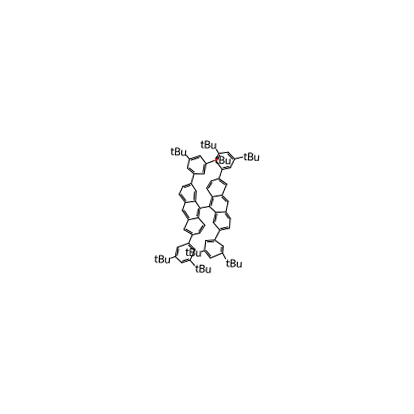 CC(C)(C)c1cc(-c2ccc3c(-c4c5ccc(-c6cc(C(C)(C)C)cc(C(C)(C)C)c6)cc5cc5ccc(-c6cc(C(C)(C)C)cc(C(C)(C)C)c6)cc45)c4cc(-c5cc(C(C)(C)C)cc(C(C)(C)C)c5)ccc4cc3c2)cc(C(C)(C)C)c1